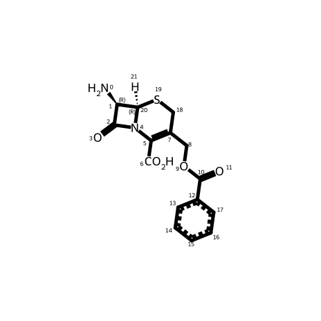 N[C@@H]1C(=O)N2C(C(=O)O)=C(COC(=O)c3ccccc3)CS[C@H]12